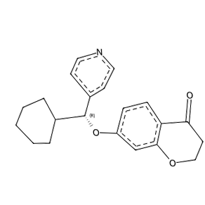 O=C1CCOc2cc(O[C@@H](c3ccncc3)C3CCCCC3)ccc21